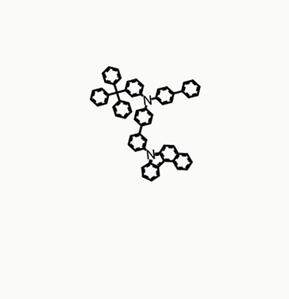 c1ccc(-c2ccc(N(c3ccc(-c4cccc(-n5c6ccccc6c6c7ccccc7ccc65)c4)cc3)c3cccc(C(c4ccccc4)(c4ccccc4)c4ccccc4)c3)cc2)cc1